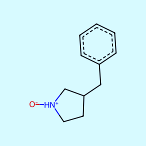 [O-][NH+]1CCC(Cc2ccccc2)C1